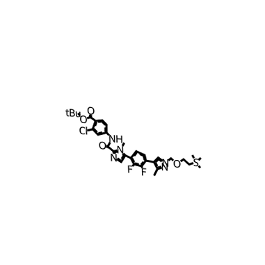 Cc1nn(COCCS(C)(C)C)cc1-c1ccc(-c2cnc(C(=O)Nc3ccc(C(=O)OC(C)(C)C)c(Cl)c3)n2C)c(F)c1F